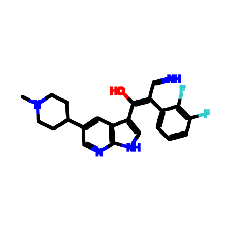 CN1CCC(c2cnc3[nH]cc(/C(O)=C(/C=N)c4cccc(F)c4F)c3c2)CC1